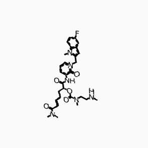 CNCCN(C)C(=O)OC(CC/C=C/C(=O)N(C)C)C(=O)Nc1cccn(Cc2cc3cc(F)ccc3n2C)c1=O